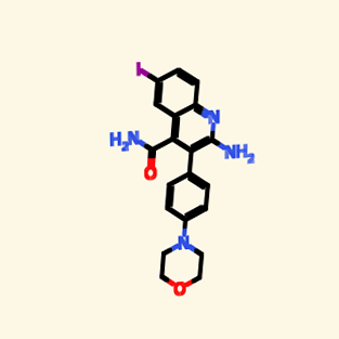 NC(=O)c1c(-c2ccc(N3CCOCC3)cc2)c(N)nc2ccc(I)cc12